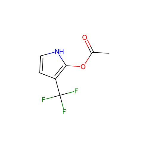 CC(=O)Oc1[nH]ccc1C(F)(F)F